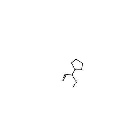 COC(C=O)C1CCCC1